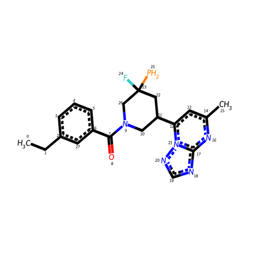 CCc1cccc(C(=O)N2CC(c3cc(C)nc4ncnn34)CC(F)(P)C2)c1